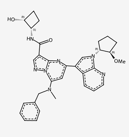 CO[C@@H]1CCC[C@H]1n1cc(-c2cc(N(C)Cc3ccccc3)n3ncc(C(=O)N[C@H]4CC[C@H]4O)c3n2)c2cccnc21